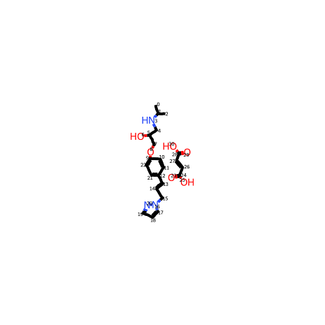 CC(C)NCC(O)COc1ccc(C=CCn2cccn2)cc1.O=C(O)C=CC(=O)O